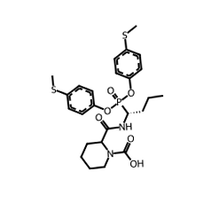 CCC[C@H](NC(=O)C1CCCCN1C(=O)O)P(=O)(Oc1ccc(SC)cc1)Oc1ccc(SC)cc1